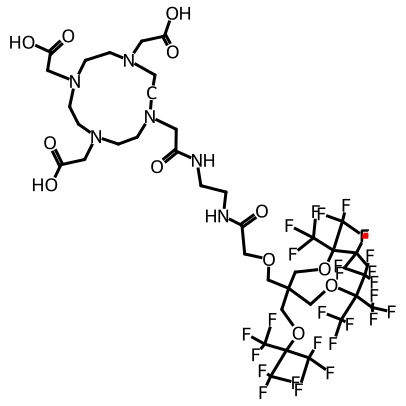 O=C(O)CN1CCN(CC(=O)O)CCN(CC(=O)NCCNC(=O)COCC(COC(C(F)(F)F)(C(F)(F)F)C(F)(F)F)(COC(C(F)(F)F)(C(F)(F)F)C(F)(F)F)COC(C(F)(F)F)(C(F)(F)F)C(F)(F)F)CCN(CC(=O)O)CC1